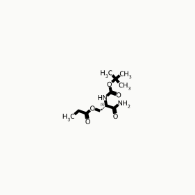 CCC(=O)OC[C@H](NC(=O)OC(C)(C)C)C(N)=O